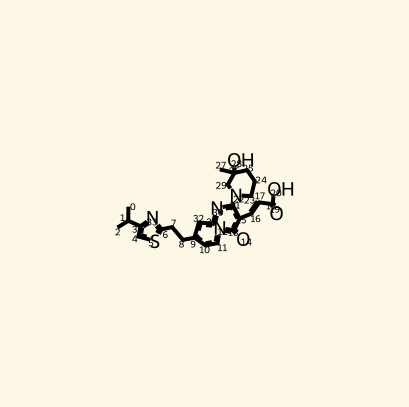 CC(C)c1csc(CCc2ccn3c(=O)c(/C=C/C(=O)O)c(N4CCCC(C)(O)C4)nc3c2)n1